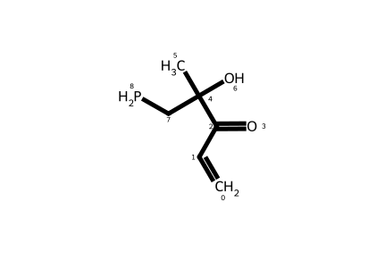 C=CC(=O)C(C)(O)CP